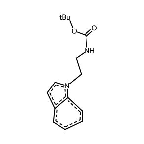 CC(C)(C)OC(=O)NCCn1ccc2ccccc21